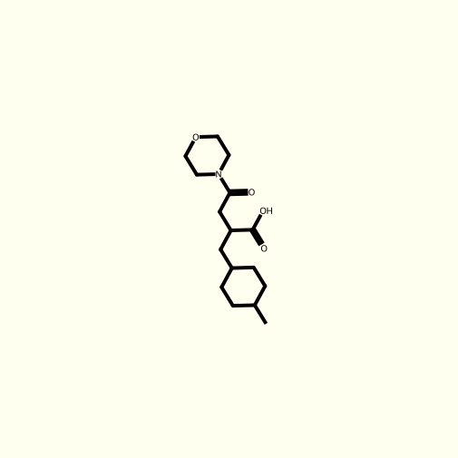 CC1CCC(CC(CC(=O)N2CCOCC2)C(=O)O)CC1